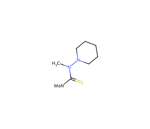 CNC(=S)N(C)N1CCCCC1